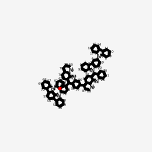 C1=CC2c3cc(-n4c5ccccc5c5ccccc54)ccc3N(c3c4ccccc4nc4c3ccc3c(-c5ccc6c(-c7ccc(-n8c9ccccc9c9ccc%10c(c98)N(c8ccccc8)C8C=CC=CC%108)cc7)c7ccc8cccnc8c7nc6c5)ccnc34)C2C=C1